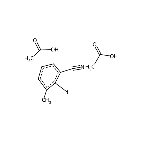 CC(=O)O.CC(=O)O.Cc1cccc(C#N)c1I